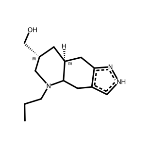 CCCN1C[C@H](CO)C[C@H]2Cc3n[nH]cc3CC21